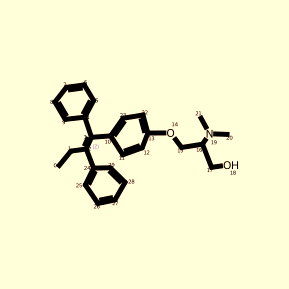 CC/C(=C(\c1ccccc1)c1ccc(OCC(CO)N(C)C)cc1)c1ccccc1